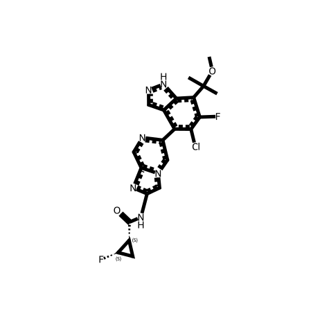 COC(C)(C)c1c(F)c(Cl)c(-c2cn3cc(NC(=O)[C@@H]4C[C@@H]4F)nc3cn2)c2cn[nH]c12